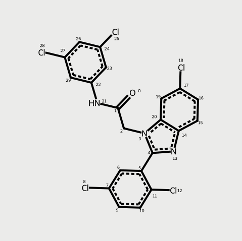 O=C(Cn1c(-c2cc(Cl)ccc2Cl)nc2ccc(Cl)cc21)Nc1cc(Cl)cc(Cl)c1